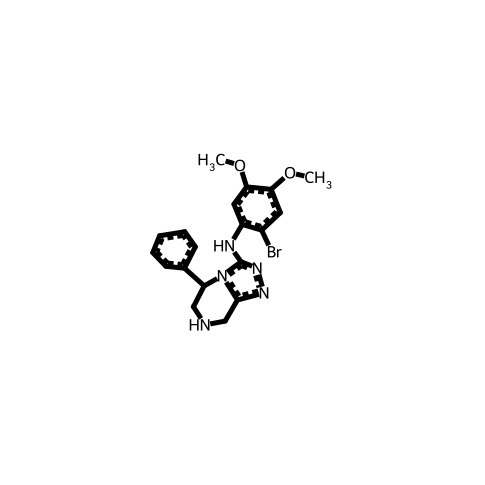 COc1cc(Br)c(Nc2nnc3n2C(c2ccccc2)CNC3)cc1OC